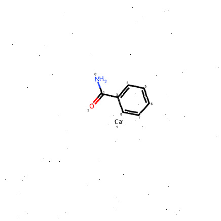 NC(=O)c1ccccc1.[Ca]